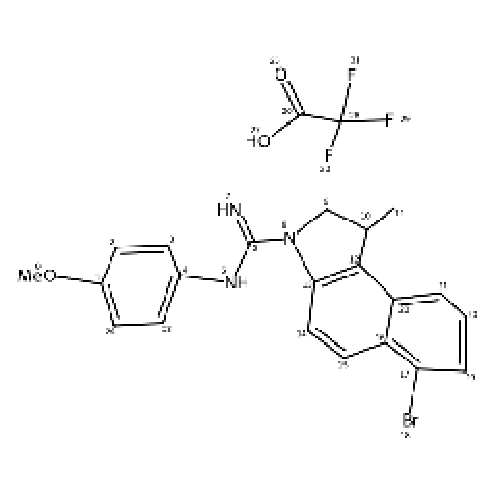 COc1ccc(NC(=N)N2CC(C)c3c2ccc2c(Br)cccc32)cc1.O=C(O)C(F)(F)F